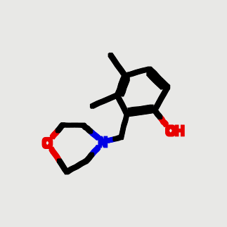 Cc1ccc(O)c(CN2CCOCC2)c1C